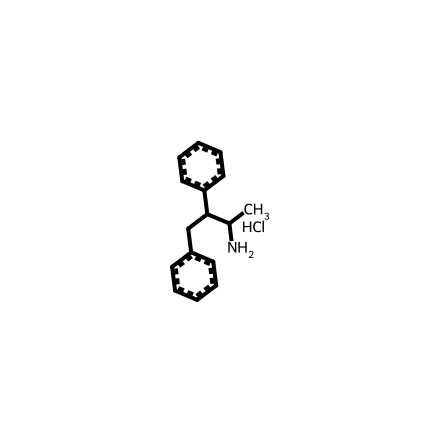 CC(N)C(Cc1ccccc1)c1ccccc1.Cl